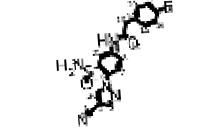 N#Cc1cnn(-c2ccc(NC(=O)Cc3ccc(F)cc3)cc2[S+](N)[O-])c1